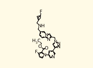 CCOC(=O)c1c(F)ccn1-c1cncc(-c2cn(Cc3cn4cc(CNCC56CC(F)(C5)C6)ccc4n3)nn2)c1